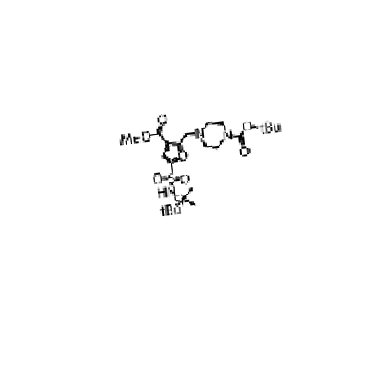 COC(=O)c1cc(S(=O)(=O)N[Si](C)(C)C(C)(C)C)oc1CN1CCN(C(=O)OC(C)(C)C)CC1